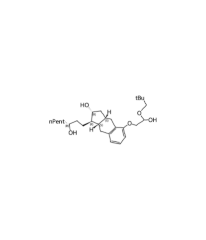 CCCCC[C@@H](O)CC[C@@H]1[C@H]2Cc3cccc(OCC(O)OCC(C)(C)C)c3C[C@H]2C[C@H]1O